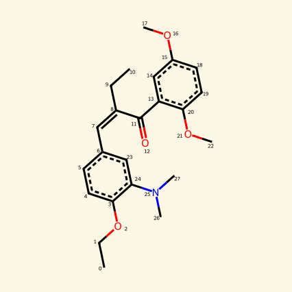 CCOc1ccc(C=C(CC)C(=O)c2cc(OC)ccc2OC)cc1N(C)C